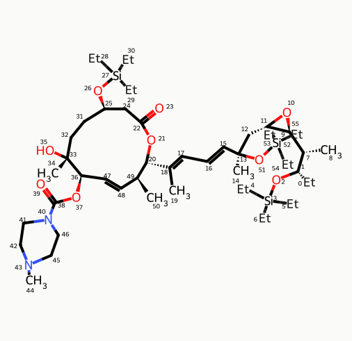 CC[C@H](O[Si](CC)(CC)CC)[C@@H](C)[C@@H]1O[C@H]1C[C@](C)(/C=C/C=C(\C)[C@H]1OC(=O)C[C@H](O[Si](CC)(CC)CC)CC[C@@](C)(O)[C@H](OC(=O)N2CCN(C)CC2)/C=C/[C@@H]1C)O[Si](CC)(CC)CC